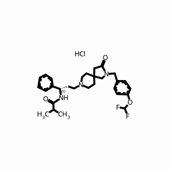 CC(C)C(=O)N[C@@H](CCN1CCC2(CC1)CC(=O)N(Cc1ccc(OC(F)F)cc1)C2)c1ccccc1.Cl